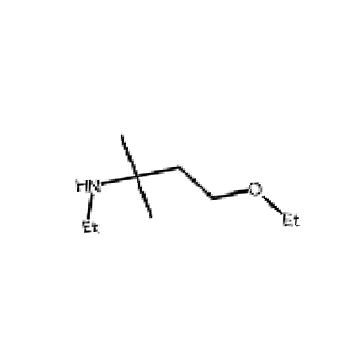 CCNC(C)(C)CCOCC